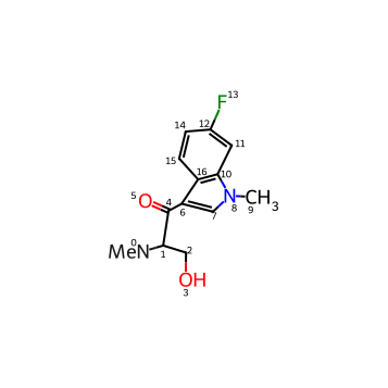 CNC(CO)C(=O)c1cn(C)c2cc(F)ccc12